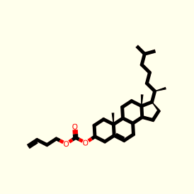 C=CCCOC(=O)OC1CC[C@@]2(C)C(=CCC3C2CC[C@@]2(C)C3CC[C@@H]2[C@H](C)CCCC(C)C)C1